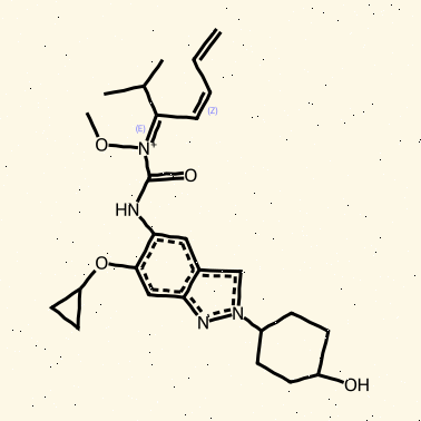 C=C/C=C\C(C(C)C)=[N+](\OC)C(=O)Nc1cc2cn(C3CCC(O)CC3)nc2cc1OC1CC1